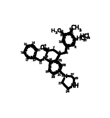 Cc1ccc(CC2CC(=O)N(Cc3ccccc3)c3ccc(N4CCNCC4)cc32)cc1C.Cl.Cl